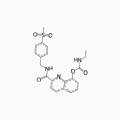 CCNC(=O)Oc1cccc2ccc(C(=O)NCc3ccc(S(C)(=O)=O)cc3)nc12